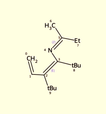 C=C/C(=C(\N=C(\C)CC)C(C)(C)C)C(C)(C)C